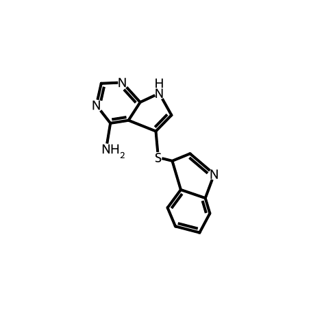 Nc1ncnc2[nH]cc(SC3C=Nc4ccccc43)c12